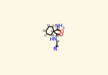 N#CCNC(=O)C1(C(N)=O)CCCCC1